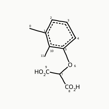 Cc1cccc(OC(C(=O)O)C(=O)O)c1C